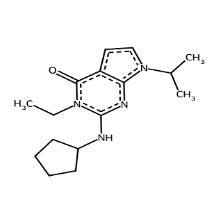 CCn1c(NC2CCCC2)nc2c(ccn2C(C)C)c1=O